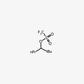 CCCC(OS(=O)(=O)C(F)(F)F)C(C)CC